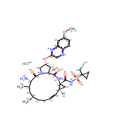 COc1ccc2ncc(O[C@@H]3C[C@H]4C(=O)N[C@]5(C(=O)NS(=O)(=O)C6(CF)CC6)C[C@H]5C=CCC[C@@H](C)C[C@@H](C)[C@H](N)C(=O)N4C3)nc2c1.Cl